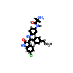 CN(C(=O)C(C)(C)N)c1ccc(N/C(=C2\C(=O)Nc3cc(Cl)ccc32)c2ccc(CC(=O)O)cc2)cc1